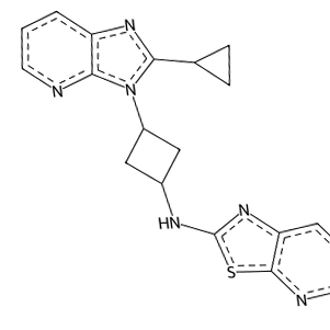 c1cnc2sc(NC3CC(n4c(C5CC5)nc5cccnc54)C3)nc2c1